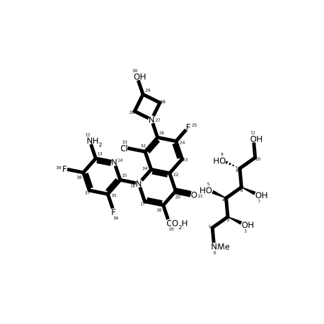 CNC[C@H](O)[C@@H](O)[C@H](O)[C@H](O)CO.Nc1nc(-n2cc(C(=O)O)c(=O)c3cc(F)c(N4CC(O)C4)c(Cl)c32)c(F)cc1F